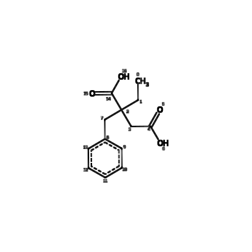 CCC(CC(=O)O)(Cc1ccccc1)C(=O)O